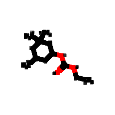 CCOC(=O)OC1CC(C)CC(C)(C)C1